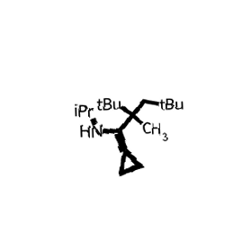 CC(C)NC(=C1CC1)C(C)(CC(C)(C)C)C(C)(C)C